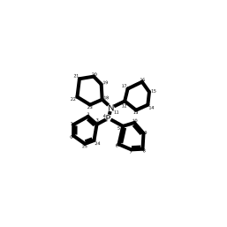 c1ccc(P(c2ccccc2)N(C2CCCCC2)C2CCCCC2)cc1